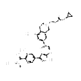 Cc1cc(-c2c[nH]c3ncc(-c4cc(C)c5c(c4)CN(CCC(=O)NC4CC4)CC5)nc23)ccc1C(=O)N(C)C